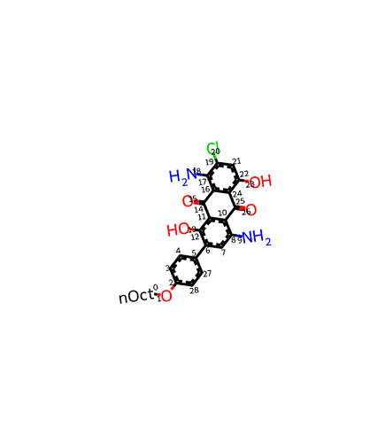 CCCCCCCCOc1ccc(-c2cc(N)c3c(c2O)C(=O)c2c(N)c(Cl)cc(O)c2C3=O)cc1